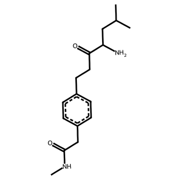 CNC(=O)Cc1ccc(CCC(=O)C(N)CC(C)C)cc1